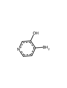 Bc1ccncc1O